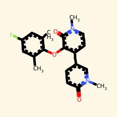 Cc1cc(F)cc(C)c1Oc1c(-c2ccc(=O)n(C)c2)ccn(C)c1=O